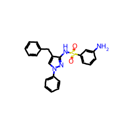 Nc1cccc(S(=O)(=O)Nc2nn(-c3ccccc3)cc2Cc2ccccc2)c1